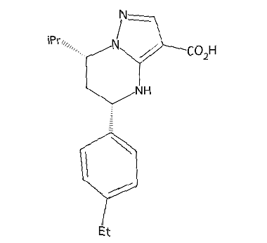 CCc1ccc([C@@H]2C[C@H](C(C)C)n3ncc(C(=O)O)c3N2)cc1